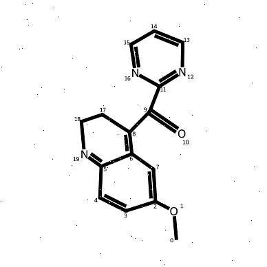 COc1ccc2c(c1)=C(C(=O)c1ncccn1)CCN=2